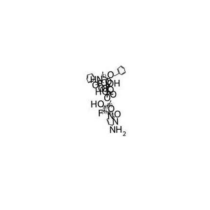 C[C@H](NP(=O)(Oc1ccccc1)OP(=O)(O)OP(=O)(O)OC[C@H]1O[C@@H](n2ccc(N)nc2=O)[C@@H](F)[C@H]1O)C(=O)OCc1ccccc1